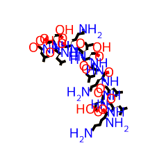 CC(C)C[C@H](NC(=O)[C@H](CC(=O)O)NC(=O)[C@H](CC(C)C)NC(=O)[C@H](CCCCN)NC(=O)[C@H](CC(C)C)NC(=O)[C@H](CC(=O)O)NC(=O)[C@H](CC(C)C)NC(=O)[C@H](CCCCN)NC(=O)[C@H](CC(C)C)NC(=O)[C@H](CC(=O)O)NC(=O)[C@H](CC(C)C)NC(=O)[C@@H](N)CCCCN)C(=O)O